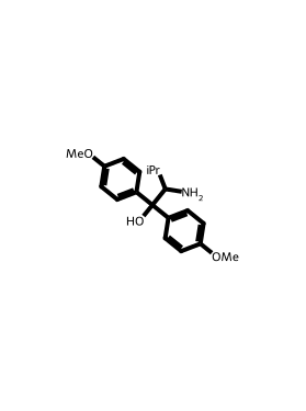 COc1ccc(C(O)(c2ccc(OC)cc2)C(N)C(C)C)cc1